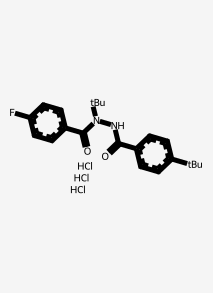 CC(C)(C)c1ccc(C(=O)NN(C(=O)c2ccc(F)cc2)C(C)(C)C)cc1.Cl.Cl.Cl